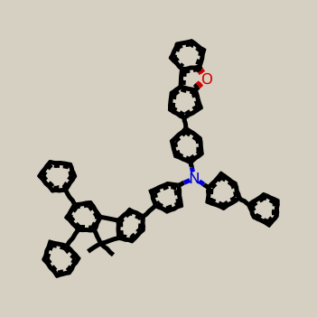 CC1(C)c2ccc(-c3ccc(N(c4ccc(-c5ccccc5)cc4)c4ccc(-c5ccc6c(c5)oc5ccccc56)cc4)cc3)cc2-c2cc(-c3ccccc3)cc(-c3ccccc3)c21